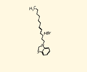 Br.CCCCCCCCCCCCN1CSc2ccccc21